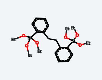 CCO[Si](OCC)(OCC)c1ccccc1CCc1ccccc1[Si](OCC)(OCC)OCC